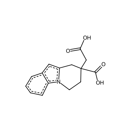 O=C(O)CC1(C(=O)O)CCn2c(cc3ccccc32)C1